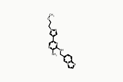 COCCn1cc(-c2cnc(N)c(NCc3ccc4nccn4c3)n2)cn1